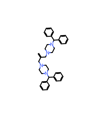 C=C(CN1CCN(C(c2ccccc2)c2ccccc2)CC1)CN1CCN(C(c2ccccc2)c2ccccc2)CC1